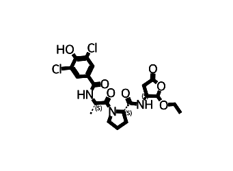 CCOC1OC(=O)C[C@@H]1NC(=O)[C@@H]1CCCN1C(=O)[C@H](C)NC(=O)c1cc(Cl)c(O)c(Cl)c1